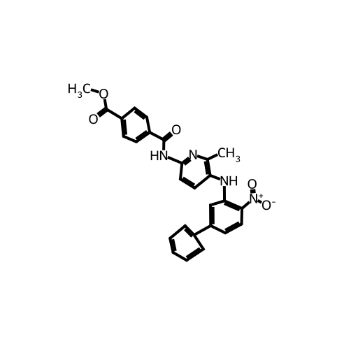 COC(=O)c1ccc(C(=O)Nc2ccc(Nc3cc(-c4ccccc4)ccc3[N+](=O)[O-])c(C)n2)cc1